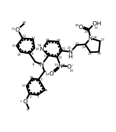 COc1ccc(CN(Cc2ccc(OC)cc2)c2nccc(NCC3CCCN3C(=O)O)c2[N+](=O)[O-])cc1